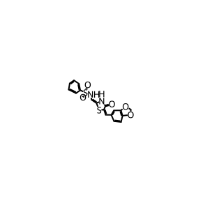 O=c1[nH]c(=CNS(=O)(=O)c2ccccc2)sc1=Cc1ccc2c(c1)OCO2